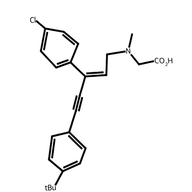 CN(CC=C(C#Cc1ccc(C(C)(C)C)cc1)c1ccc(Cl)cc1)CC(=O)O